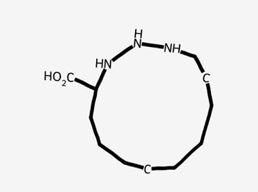 O=C(O)C1CCCCCCCCCNNN1